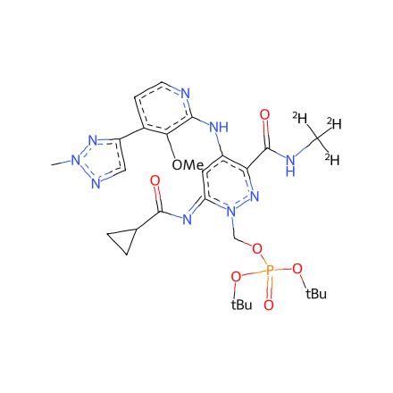 [2H]C([2H])([2H])NC(=O)c1nn(COP(=O)(OC(C)(C)C)OC(C)(C)C)c(=NC(=O)C2CC2)cc1Nc1nccc(-c2cnn(C)n2)c1OC